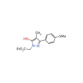 CCOC(=O)Cn1nc(-c2ccc(SC)cc2)c(C)c1O